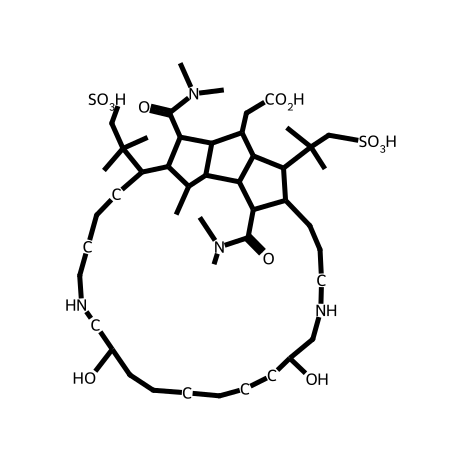 CC1C2C3C(CC(=O)O)C4C2C(C(=O)N(C)C)C(CCCNCC(O)CCCCCCC(O)CNCCCCC(C(C)(C)CS(=O)(=O)O)C1C3C(=O)N(C)C)C4C(C)(C)CS(=O)(=O)O